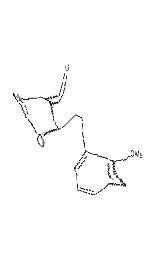 COc1ccccc1CC1OC=NC1=O